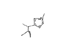 CC(C)C(C)c1ccn(C)c1